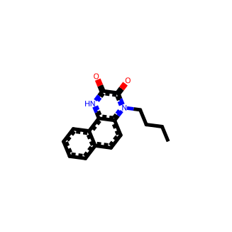 CCCCn1c(=O)c(=O)[nH]c2c3ccccc3ccc21